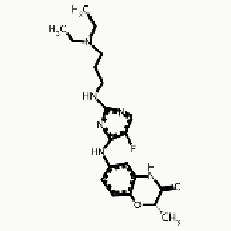 CCN(CC)CCCNc1ncc(F)c(Nc2ccc3c(c2)NC(=O)[C@H](C)O3)n1